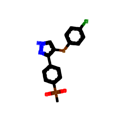 CS(=O)(=O)c1ccc(-c2n[nH]cc2Sc2ccc(Cl)cc2)cc1